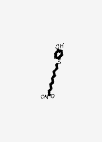 O=NC(=O)CCCCCCCCCSc1ccc(O)cc1